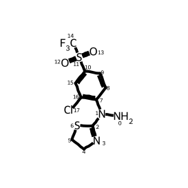 NN(C1=NCCS1)c1ccc(S(=O)(=O)C(F)(F)F)cc1Cl